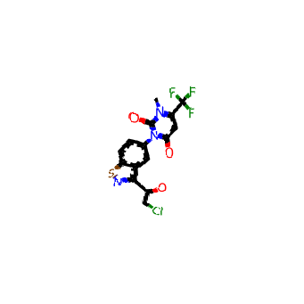 Cn1c(C(F)(F)F)cc(=O)n(-c2ccc3snc(C(=O)CCl)c3c2)c1=O